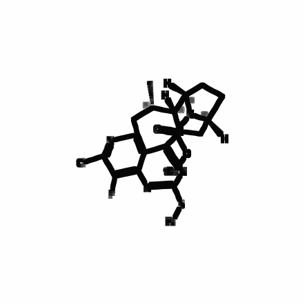 CCSc1nc2c3c(nc(Cl)c(F)c3n1)C[C@H](C)[C@@H]1[C@@H]3CC[C@H](CN21)N3C(=O)OC(C)(C)C